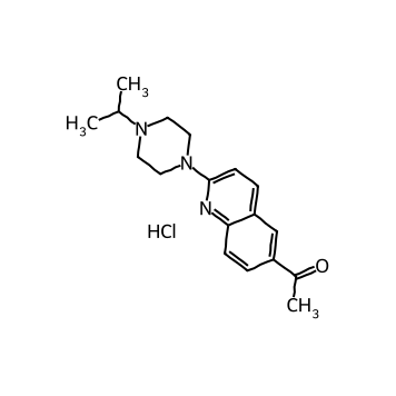 CC(=O)c1ccc2nc(N3CCN(C(C)C)CC3)ccc2c1.Cl